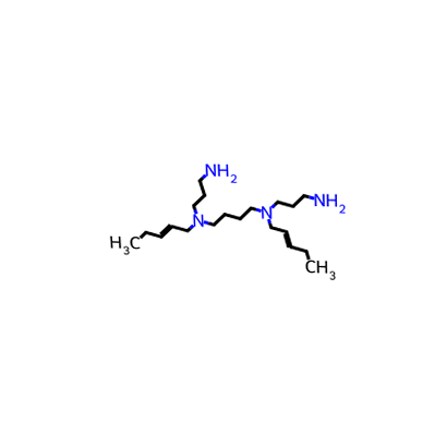 CCC=CCN(CCCN)CCCCN(CC=CCC)CCCN